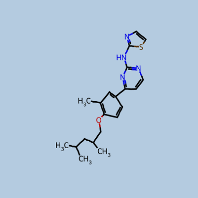 Cc1cc(-c2ccnc(Nc3nccs3)n2)ccc1OCC(C)CC(C)C